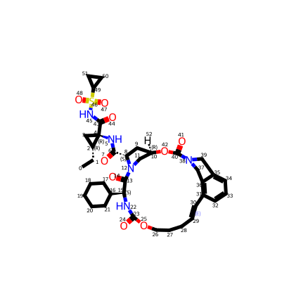 CC[C@@H]1C[C@]1(NC(=O)[C@@H]1C[C@@H]2CN1C(=O)[C@H](C1CCCCC1)NC(=O)OCCC/C=C/c1cccc3c1CN(C3)C(=O)O2)C(=O)NS(=O)(=O)C1CC1